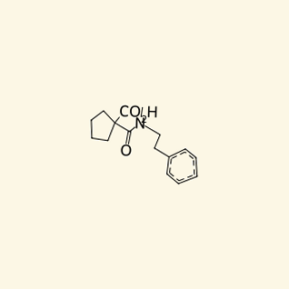 CN(CCc1ccccc1)C(=O)C1(C(=O)O)CCCC1